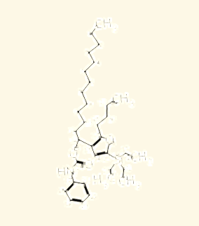 CCCCCCCCCCCCC(OC(=O)Nc1ccccc1)c1cc([Si](CC)(CC)CC)oc1CCCC